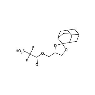 O=C(OCC1COC2(O1)C1CC3CC(C1)CC2C3)C(F)(F)S(=O)(=O)O